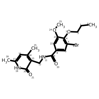 CCCOc1c(Br)cc(C(=O)NCc2c(C)cc(C)[nH]c2=O)cc1OC